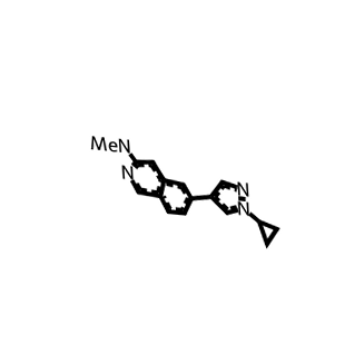 CNc1cc2cc(-c3cnn(C4CC4)c3)ccc2cn1